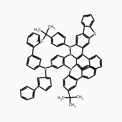 CC(C)(C)c1ccc(N2B3c4ccc(N(c5cccc(-c6ccccc6)c5)c5cccc(-c6ccccc6)c5)cc4N(c4ccc(C(C)(C)C)cc4-c4ccccc4)c4cc5ccccc5c(c43)-c3cc4sc5ccccc5c4cc32)cc1